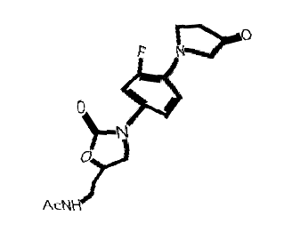 CC(=O)NCC1CN(c2ccc(N3CCC(=O)C3)c(F)c2)C(=O)O1